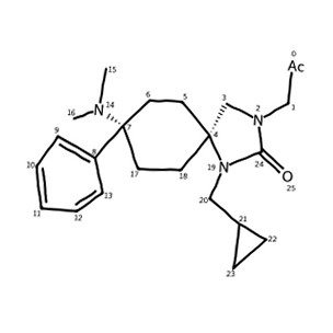 CC(=O)CN1C[C@]2(CC[C@@](c3ccccc3)(N(C)C)CC2)N(CC2CC2)C1=O